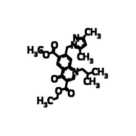 CCOC(=O)c1cn(CC(C)C)c2cc(Cn3nc(C)cc3C)c(C(=O)OC)cc2c1=O